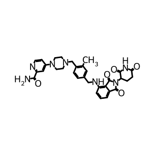 Cc1cc(CNc2cccc3c2C(=O)N(C2CCC(=O)NC2=O)C3=O)ccc1CN1CCN(c2ccnc(C(N)=O)c2)CC1